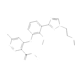 COCCn1cnc(-c2cccc(Nc3cc(Cl)nnc3C(=O)[O][Zn])c2OC)n1